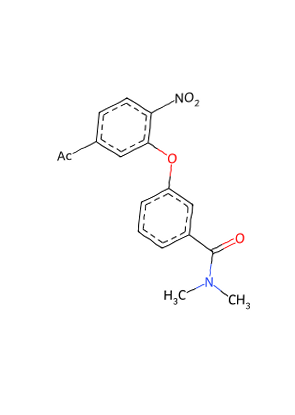 CC(=O)c1ccc([N+](=O)[O-])c(Oc2cccc(C(=O)N(C)C)c2)c1